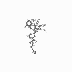 Cn1c(=O)c2c(nc(N3CCCC(C(=O)NCCC#N)C3)n2Cc2c(F)cccc2Cl)n(C)c1=O